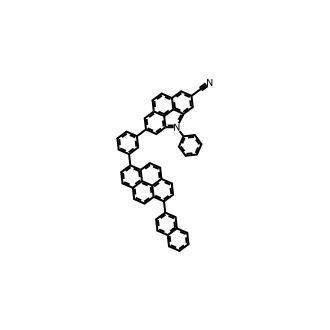 N#Cc1cc2ccc3cc(-c4cccc(-c5ccc6ccc7c(-c8ccc9ccccc9c8)ccc8ccc5c6c87)c4)cc4c3c2c(c1)n4-c1ccccc1